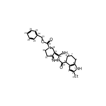 CCc1cc2c([nH]1)CCCC2C(=O)n1nc2c(c1N)CN(C(=O)OCc1ccccc1)CC2